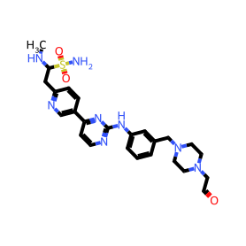 CNC(Cc1ccc(-c2ccnc(Nc3cccc(CN4CCN(CC=O)CC4)c3)n2)cn1)S(N)(=O)=O